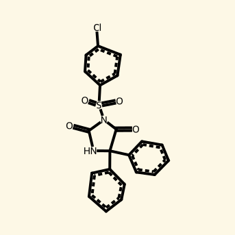 O=C1NC(c2ccccc2)(c2ccccc2)C(=O)N1S(=O)(=O)c1ccc(Cl)cc1